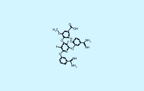 COc1cc(C(=O)O)ccc1Oc1c(F)c(Oc2cccc(C(=N)N)c2)nc(Oc2cc(C(=N)N)ccc2O)c1F